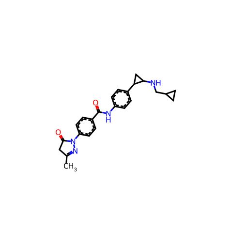 CC1=NN(c2ccc(C(=O)Nc3ccc(C4CC4NCC4CC4)cc3)cc2)C(=O)C1